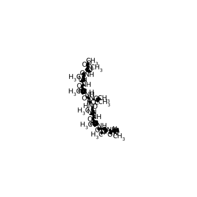 COC(=O)c1cc(NC(=O)c2nc(NC(=O)c3cc(NC(=O)[C@H](CCNC(=O)c4nc(NC(=O)c5cc(NC(=O)c6cc(NC(=O)c7nccn7C)cn6C)cn5C)cn4C)NC(=O)OC(C)(C)C)cn3C)cn2C)cn1C